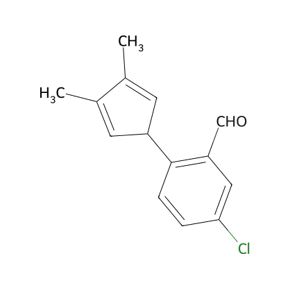 CC1=CC(c2ccc(Cl)cc2C=O)C=C1C